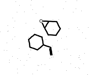 C1CCC2OC2C1.C=CC1CCCCC1